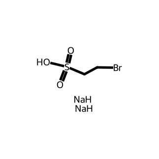 O=S(=O)(O)CCBr.[NaH].[NaH]